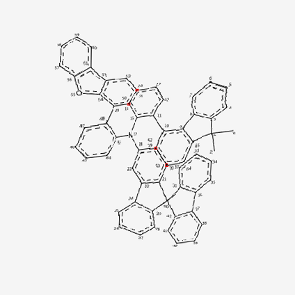 CC1(C)c2ccccc2-c2c(-c3ccccc3N(c3ccc4c(c3)-c3ccccc3C43c4ccccc4-c4ccccc43)c3ccccc3-c3cccc4c3oc3ccccc34)cccc21